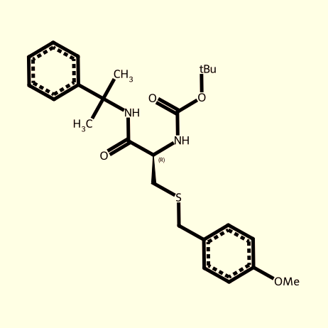 COc1ccc(CSC[C@H](NC(=O)OC(C)(C)C)C(=O)NC(C)(C)c2ccccc2)cc1